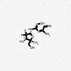 C[C@]1(CO)O[C@@H](NC(=N/O)/N=C(/N)C=N)C(F)(F)[C@@H]1O